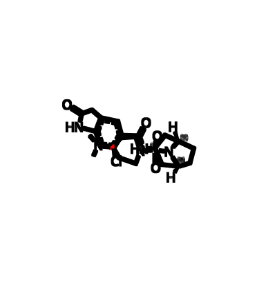 CN(C)C1CCN(S(=O)(=O)N2[C@@H]3CC[C@H]2C[C@H](NC(=O)c2cc4c(cc2Cl)NC(=O)C4)C3)CC1